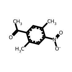 CC(=O)c1cc(C)c([N+](=O)[O-])cc1C